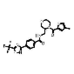 Cc1csc(C(=O)N2CCOC[C@@H]2CNC(=O)c2ccc(-c3noc(C(F)(F)F)n3)cc2)c1